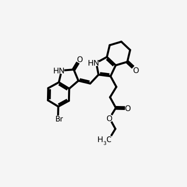 CCOC(=O)CCc1c(/C=C2\C(=O)Nc3ccc(Br)cc32)[nH]c2c1C(=O)CCC2